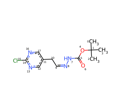 CC(C)(C)OC(=O)N/N=C\Cc1cnc(Cl)nc1